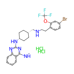 CNc1nc(N[C@H]2CC[C@@H](CNCCc3ccc(Br)cc3OC(F)(F)F)CC2)nc2ccccc12.Cl.Cl